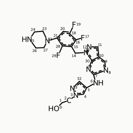 OCCn1cc(Nc2ncc3cnn(Cc4c(F)c(F)cc(N5CCNCC5)c4F)c3n2)cn1